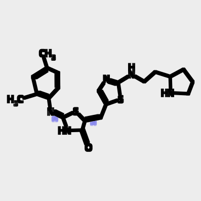 Cc1ccc(/N=C2/NC(=O)/C(=C/c3cnc(NCCC4CCCN4)s3)S2)c(C)c1